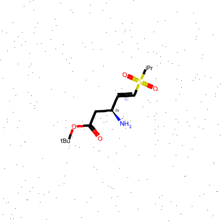 CC(C)S(=O)(=O)/C=C/[C@@H](N)CC(=O)OC(C)(C)C